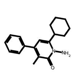 Cc1c(-c2ccccc2)cc(C2CCCCC2)n(N)c1=O